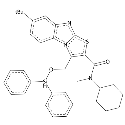 CN(C(=O)c1sc2nc3cc(C(C)(C)C)ccc3n2c1CO[SiH](c1ccccc1)c1ccccc1)C1CCCCC1